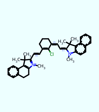 CN1/C(=C/C=C2/CCCC(/C=C/C3=[N+](C)C4=C(c5ccccc5CC4)C3(C)C)=C2Cl)C(C)(C)c2c1ccc1ccccc21